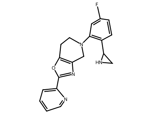 Fc1ccc(C2CN2)c(N2CCc3oc(-c4ccccn4)nc3C2)c1